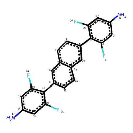 Nc1cc(F)c(-c2ccc3cc(-c4c(F)cc(N)cc4F)ccc3c2)c(F)c1